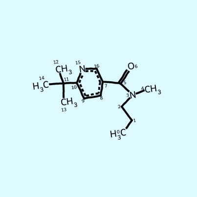 CCCN(C)C(=O)c1ccc(C(C)(C)C)nc1